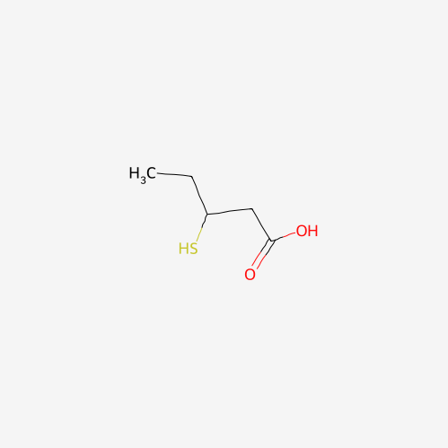 CCC(S)CC(=O)O